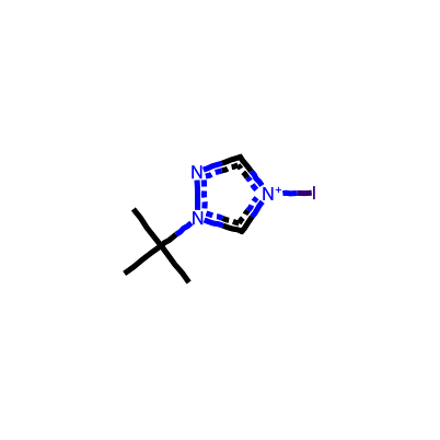 CC(C)(C)n1c[n+](I)cn1